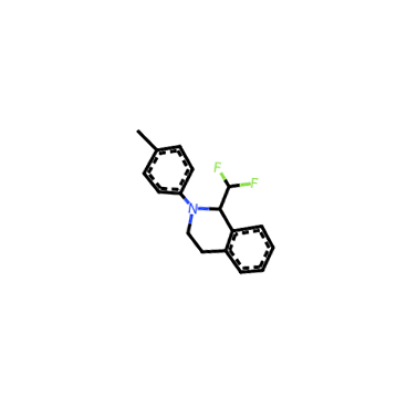 Cc1ccc(N2CCc3ccccc3C2C(F)F)cc1